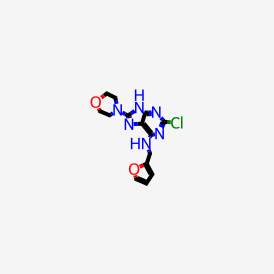 Clc1nc(NCc2ccco2)c2nc(N3CCOCC3)[nH]c2n1